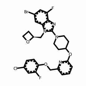 Fc1cc(Cl)ccc1OCc1cccc(OC2CCN(c3nc4c(F)cc(Br)cc4n3C[C@@H]3CCO3)CC2)n1